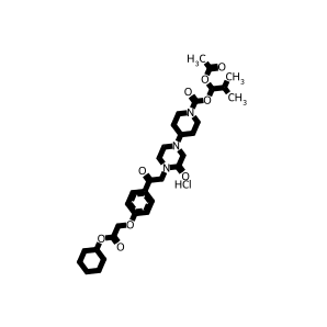 CC(=O)OC(OC(=O)N1CCC(N2CCN(CC(=O)c3ccc(OCC(=O)OC4CCCCC4)cc3)C(=O)C2)CC1)C(C)C.Cl